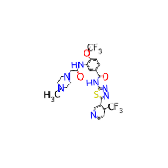 CN1CCN(CC(=O)Nc2cc(C(=O)Nc3nnc(-c4cnccc4C(F)(F)F)s3)ccc2OC(F)(F)F)CC1